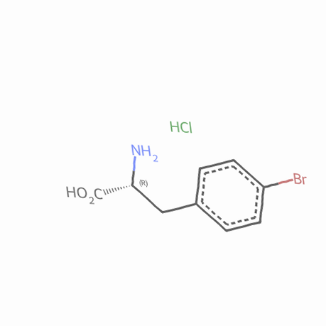 Cl.N[C@H](Cc1ccc(Br)cc1)C(=O)O